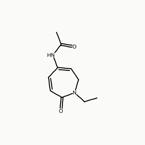 CCN1CC=C(NC(C)=O)C=CC1=O